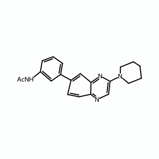 CC(=O)Nc1cccc(-c2ccc3ncc(N4CCCCC4)nc3c2)c1